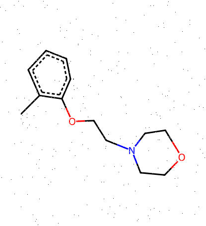 Cc1ccc[c]c1OCCN1CCOCC1